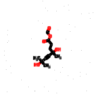 CC(C)(O)C#CC(C)(O)CCC(=O)OC=O